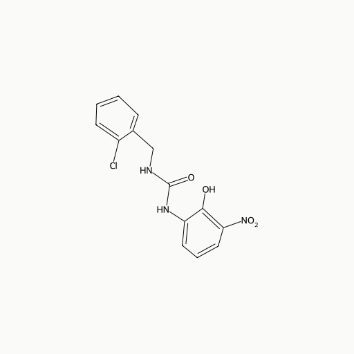 O=C(NCc1ccccc1Cl)Nc1cccc([N+](=O)[O-])c1O